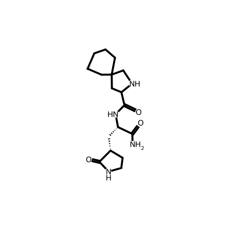 NC(=O)[C@H](C[C@@H]1CCNC1=O)NC(=O)C1CC2(CCCCC2)CN1